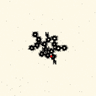 N#Cc1ccc(-c2cc(-c3nc(-c4cc(-c5cccc(C#N)c5)cc(-n5c6ccc(-c7ccccc7)cc6c6cc(-c7ccccc7)ccc65)c4)nc(-c4ccccc4-c4ccc(C#N)cc4)n3)cc(-n3c4ccc(-c5ccccc5)cc4c4cc(-c5ccccc5)ccc43)c2)cc1